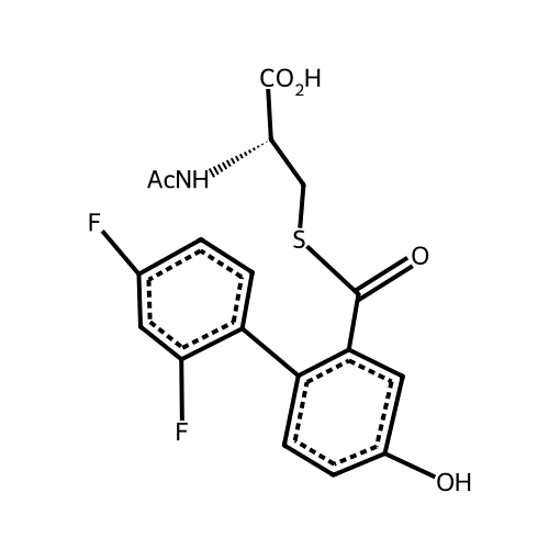 CC(=O)N[C@@H](CSC(=O)c1cc(O)ccc1-c1ccc(F)cc1F)C(=O)O